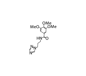 COc1cc(C(=O)NCCCn2cncn2)cc(OC)c1OC